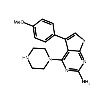 COc1ccc(-c2csc3nc(N)nc(N4CCNCC4)c23)cc1